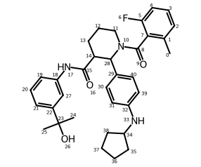 Cc1cccc(F)c1C(=O)N1CCCC(C(=O)Nc2cccc(C(C)(C)O)c2)C1c1ccc(NC2CCCC2)cc1